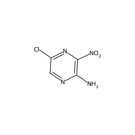 Nc1ncc(Cl)nc1[N+](=O)[O-]